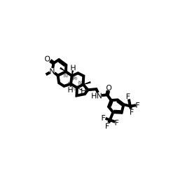 CN1C(=O)C=C[C@@]2(C)C1CC[C@@H]1[C@H]2CC[C@]2(C)C(CNC(=O)c3cc(C(F)(F)F)cc(C(F)(F)F)c3)CC[C@@H]12